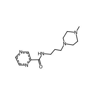 CN1CCN(CCCNC(=O)c2cnccn2)CC1